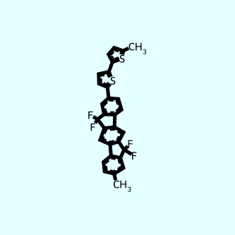 Cc1ccc2c(c1)C(F)(F)c1cc3c(cc1-2)C(F)(F)c1cc(-c2ccc(-c4ccc(C)s4)s2)ccc1-3